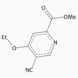 CCOc1cc(C(=O)OC)ncc1C#N